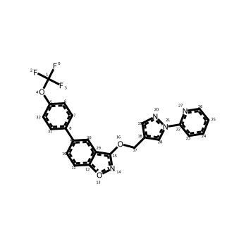 FC(F)(F)Oc1ccc(-c2ccc3onc(OCc4cnn(-c5ccccn5)c4)c3c2)cc1